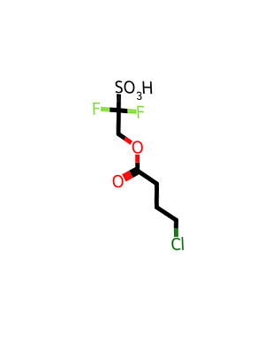 O=C(CCCCl)OCC(F)(F)S(=O)(=O)O